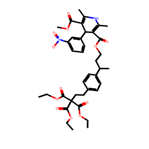 CCOC(=O)C(CCc1ccc(C(C)CCOC(=O)C2=C(C)NC(C)=C(C(=O)OC)C2c2cccc([N+](=O)[O-])c2)cc1)(C(=O)OCC)C(=O)OCC